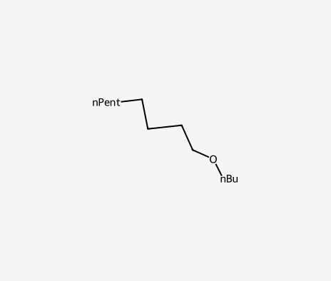 [CH2]CCCCCCCCOCCCC